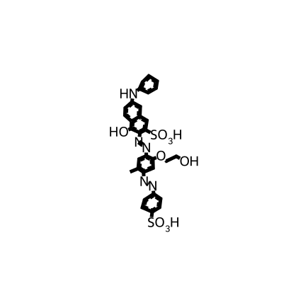 Cc1cc(/N=N/c2c(S(=O)(=O)O)cc3cc(Nc4ccccc4)ccc3c2O)c(OCCO)cc1/N=N/c1ccc(S(=O)(=O)O)cc1